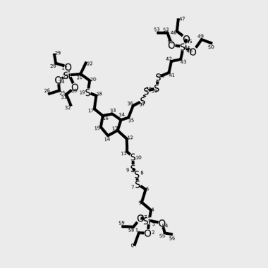 CCO[Si](CCCSSSSCCC1CCC(CCSCC(C)[Si](OCC)(OCC)OCC)CC1CCSSSSCCC[Si](OCC)(OCC)OCC)(OCC)OCC